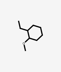 C[CH]C1CCCCC1OC